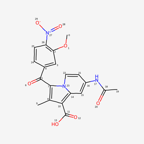 COc1cc(C(=O)c2c(C)c(C(=O)O)c3cc(NC(C)=O)ccn23)ccc1[N+](=O)[O-]